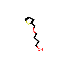 OCCCCOCc1cccs1